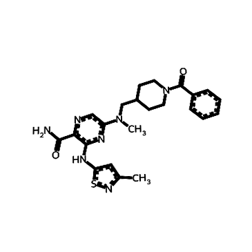 Cc1cc(Nc2nc(N(C)CC3CCN(C(=O)c4ccccc4)CC3)cnc2C(N)=O)sn1